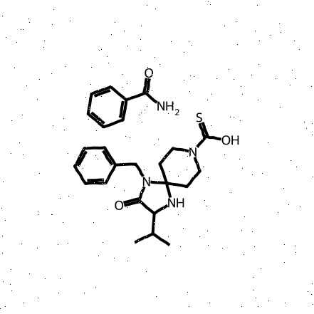 CC(C)C1NC2(CCN(C(O)=S)CC2)N(Cc2ccccc2)C1=O.NC(=O)c1ccccc1